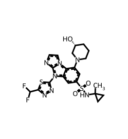 CC1(NS(=O)(=O)c2cc(N3CCC[C@@H](O)C3)c3c(c2)n(-c2nnc(C(F)F)s2)c2nccn32)CC1